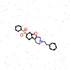 O=S(=O)(c1ccccc1)c1ccc2c3c(oc2c1)CN(CCc1ccccc1)CC3